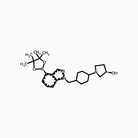 CC1(C)OB(c2cccc3c2cnn3CC2CCC(N3CC[C@@H](O)C3)CC2)OC1(C)C